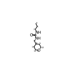 CCCNC(=O)NCC1CCOCC1